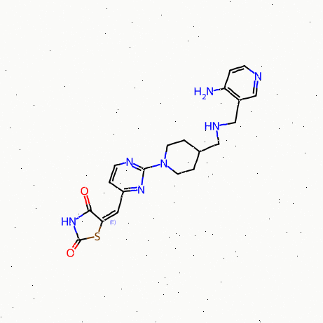 Nc1ccncc1CNCC1CCN(c2nccc(/C=C3/SC(=O)NC3=O)n2)CC1